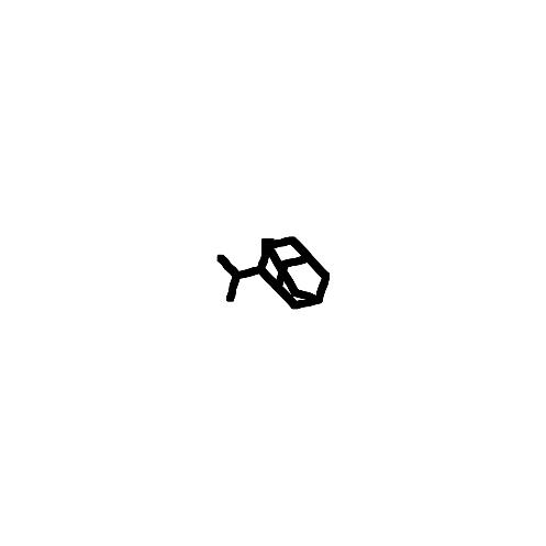 CC(C)C1C2CC3CC(C2)CN1C3